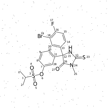 CC(C)S(=O)(=O)Oc1cccc(C2(c3ccc(F)c(Br)c3)NC(=S)N(C)C2=O)c1